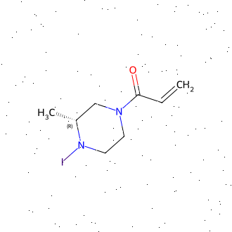 C=CC(=O)N1CCN(I)[C@H](C)C1